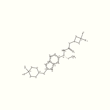 CC[C@@H](NC(=O)CC1CC(F)(F)C1)c1cnn2cc(CC3CCC(F)(F)CC3)nc2c1